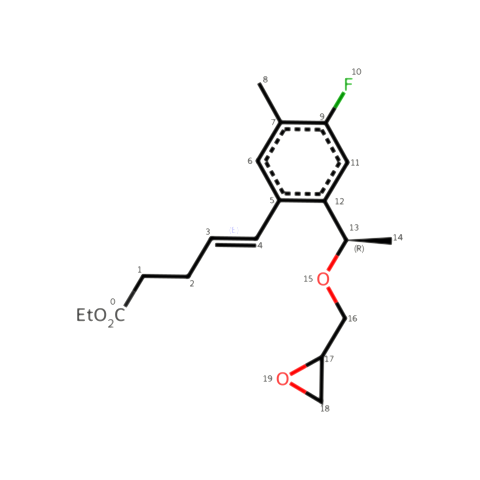 CCOC(=O)CC/C=C/c1cc(C)c(F)cc1[C@@H](C)OCC1CO1